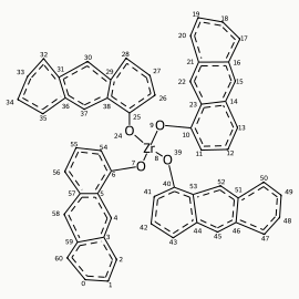 c1ccc2cc3c([O][Zr]([O]c4cccc5cc6ccccc6cc45)([O]c4cccc5cc6ccccc6cc45)[O]c4cccc5cc6ccccc6cc45)cccc3cc2c1